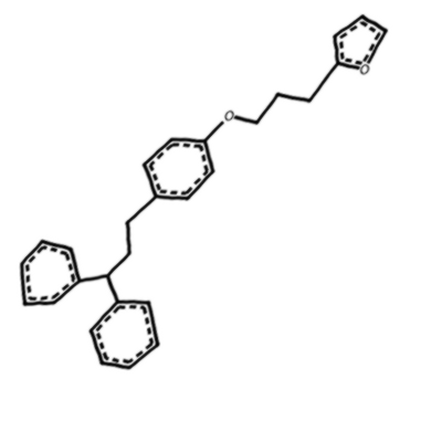 c1ccc(C(CCc2ccc(OCCCc3ccco3)cc2)c2ccccc2)cc1